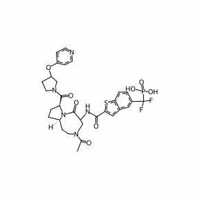 CC(=O)N1CC[C@H]2CC[C@@H](C(=O)N3CCC(Oc4ccncc4)C3)N2C(=O)C(NC(=O)c2cc3cc(C(F)(F)P(=O)(O)O)ccc3s2)C1